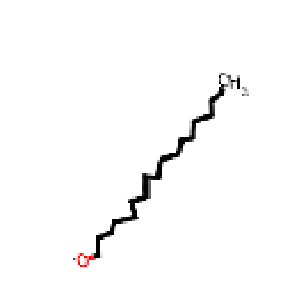 CCCCCCCCCCC=CCCCCCC[O]